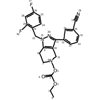 CCOC(=O)ON1CCc2c(c(-c3cccc(C#N)c3)nn2Cc2ccc(F)cc2F)C1